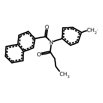 [CH2]c1ccc(N(C(=O)CCC)C(=O)c2ccc3ccccc3c2)cc1